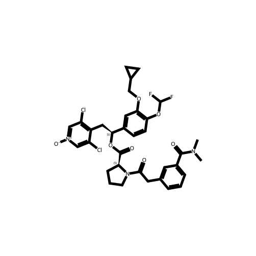 CN(C)C(=O)c1cccc(CC(=O)N2CCC[C@H]2C(=O)O[C@@H](Cc2c(Cl)c[n+]([O-])cc2Cl)c2ccc(OC(F)F)c(OCC3CC3)c2)c1